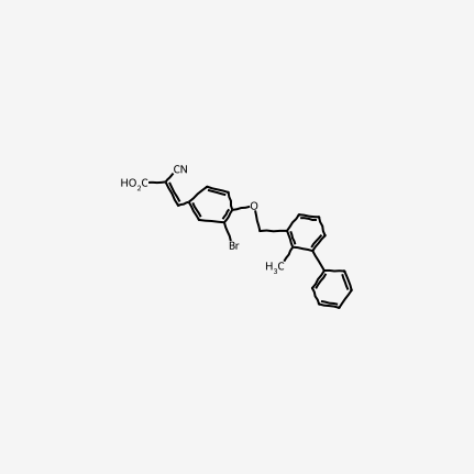 Cc1c(COc2ccc(/C=C(\C#N)C(=O)O)cc2Br)cccc1-c1ccccc1